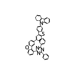 C1=Cc2c(n(-c3ccc4c(c3)sc3ccc(-c5ccc6oc7cccc(-c8nc(-c9ccccc9)nc(-c9ccccc9)n8)c7c6c5)cc34)c3ccccc23)CC1